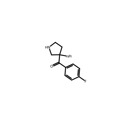 CCCC1(C(=O)c2ccc(F)cc2)CCNC1